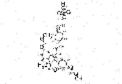 COCOc1ccc(C2(C)COc3cc(OCOC)ccc3C2CCCCc2ccc(OCCOS(C)(=O)=O)cc2)cc1